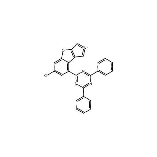 Clc1cc(-c2nc(-c3ccccc3)nc(-c3ccccc3)n2)c2c3c(oc2c1)C=[N+]=C3